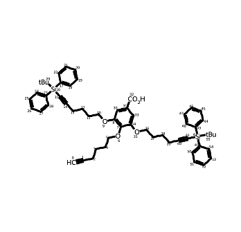 C#CCCCCOc1c(OCCCCC#C[Si](c2ccccc2)(c2ccccc2)C(C)(C)C)cc(C(=O)O)cc1OCCCCC#C[Si](c1ccccc1)(c1ccccc1)C(C)(C)C